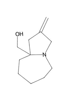 C=C1CN2CCCCCC2(CO)C1